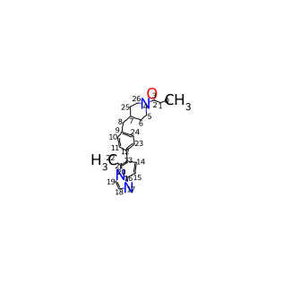 CCC(=O)N1CCC(Cc2ccc(-c3ccc4nccn4c3C)cc2)CC1